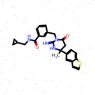 CC1(c2ccc3sccc3c2)CC(=O)N(Cc2cccc(C(=O)NCC3CC3)c2)C(=N)N1